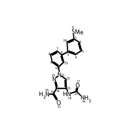 CSc1cccc(-c2cccc(-n3cc(NC(N)=O)c(C(N)=O)n3)c2)c1